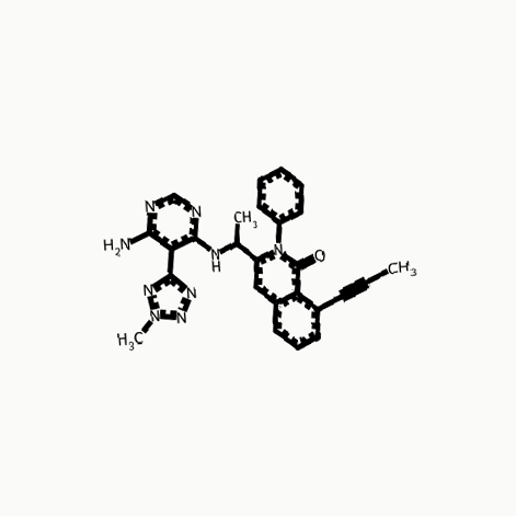 CC#Cc1cccc2cc(C(C)Nc3ncnc(N)c3-c3nnn(C)n3)n(-c3ccccc3)c(=O)c12